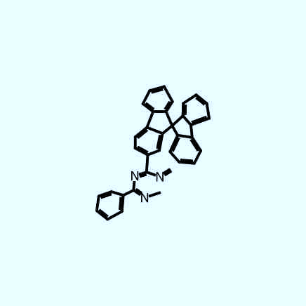 C=N/C(=N\C(=N/C)c1ccccc1)c1ccc2c(c1)C1(c3ccccc3-c3ccccc31)c1ccccc1-2